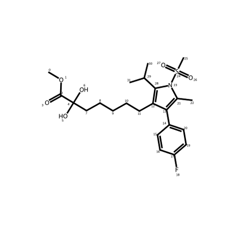 COC(=O)C(O)(O)CCCCCc1c(-c2ccc(F)cc2)c(C)n(S(C)(=O)=O)c1C(C)C